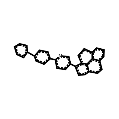 c1ccc(-c2ccc(-c3ccc(-c4ccc5ccc6cccc7ccc4c5c67)cn3)cc2)cc1